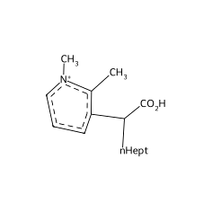 CCCCCCCC(C(=O)O)c1ccc[n+](C)c1C